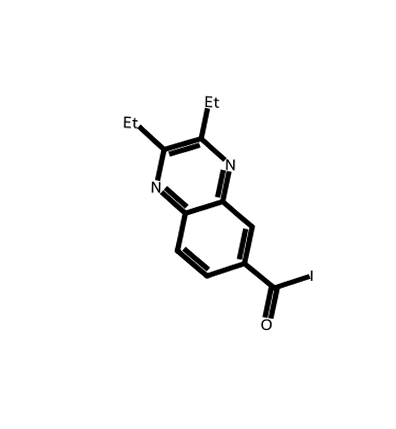 CCc1nc2ccc(C(=O)I)cc2nc1CC